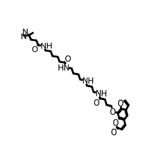 CC1(CCC(=O)NCCCCCC(=O)NCCCCNCCCNC(=O)CCCOc2c3occc3cc3ccc(=O)oc23)N=N1